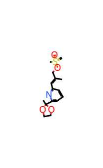 C=S(C)(=O)OC/C(C)=C/c1cccc(C2(C)OCCO2)n1